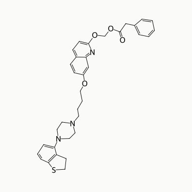 O=C(Cc1ccccc1)OCOc1ccc2ccc(OCCCCN3CCN(c4cccc5c4CCS5)CC3)cc2n1